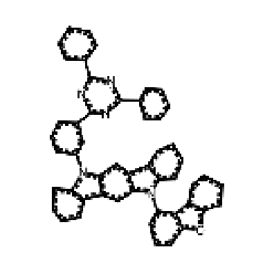 c1ccc(-c2nc(-c3ccccc3)nc(-c3cccc(-n4c5ccccc5c5cc6c(cc54)c4ccccc4n6-c4cccc5oc6ccccc6c45)c3)n2)cc1